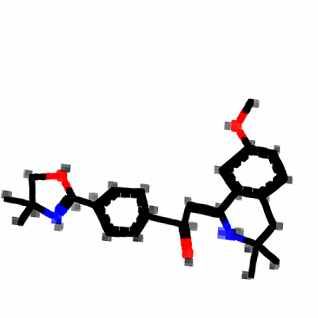 COc1ccc2c(c1)C(=CC(=O)c1ccc(C3=NC(C)(C)CO3)cc1)NC(C)(C)C2